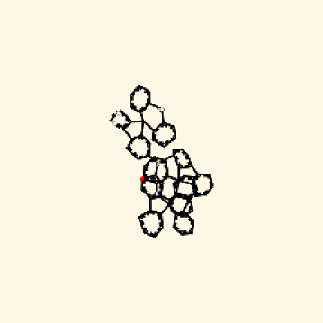 c1ccc2c(c1)Oc1ccccc1C21c2ccccc2-c2ccc(N(c3ccc4c(c3)C3(c5ccccc5-c5ccccc53)c3ccccc3-4)c3cccc4c3C3(c5ccccc5Oc5ccccc53)c3ccccc3-4)cc21